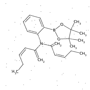 C=C(/C=C\CC)N(C(=C)/C=C\CC)c1ccccc1B1OC(C)(C)C(C)(C)O1